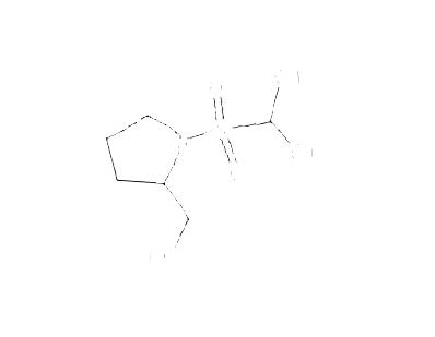 CC(C)S(=O)(=O)N1CCCC1CO